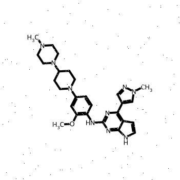 COc1cc(N2CCC(N3CCN(C)CC3)CC2)ccc1Nc1nc(-c2cnn(C)c2)c2cc[nH]c2n1